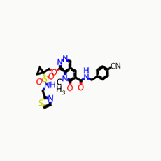 Cn1c(=O)c(C(=O)NCc2ccc(C#N)cc2)cc2cnnc(OCC3(S(=O)(=O)NCc4nccs4)CC3)c21